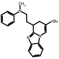 CCCCC1=Cn2c(nc3ccccc32)C(CCN(C)c2ccccc2)C1